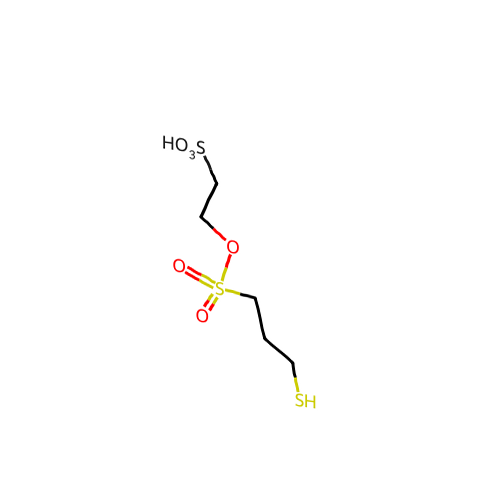 O=S(=O)(O)CCOS(=O)(=O)CCCS